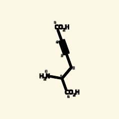 NC(CC#CC(=O)O)C(=O)O